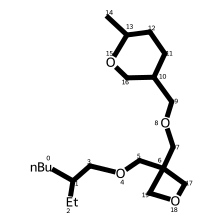 CCCCC(CC)COCC1(COCC2CCC(C)OC2)COC1